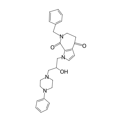 O=C1CCN(Cc2ccccc2)C(=O)c2c1ccn2CC(O)CN1CCN(c2ccccc2)CC1